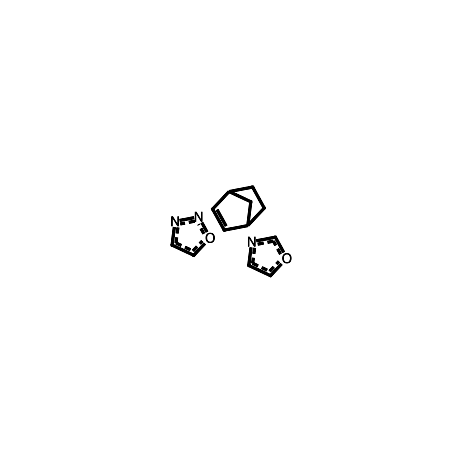 C1=CC2CCC1C2.c1cocn1.c1conn1